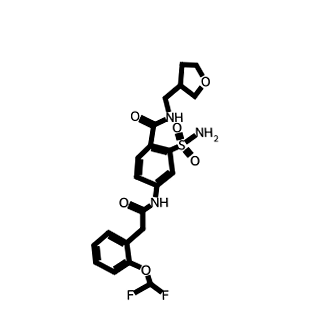 NS(=O)(=O)c1cc(NC(=O)Cc2ccccc2OC(F)F)ccc1C(=O)NCC1CCOC1